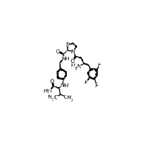 CC(C)[C@H](Nc1ccc(CNC(=O)[C@H]2SCCN2C(=O)C[C@H](N)Cc2cc(F)c(F)cc2F)cc1)C(=O)O